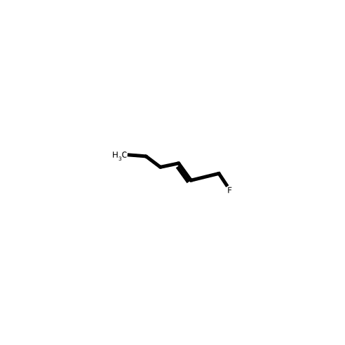 CCC/C=C/CF